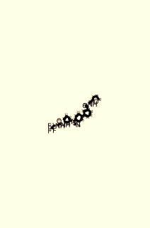 O=C(NCC(F)(F)F)Nc1cccc(-n2cnc3cc(-c4cccc(C(=O)NCC5CCCO5)c4)ccc32)c1